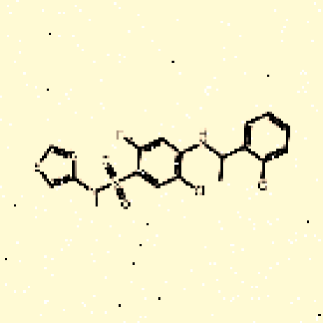 CC(Nc1cc(F)c(S(=O)(=O)Nc2cscn2)cc1Cl)c1ccccc1Cl